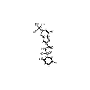 Cc1ccc(Cl)c(S(=O)(=O)NC(=O)C2=C[N+]3CN(C(F)(F)F)C=C(Cl)C3=N2)c1